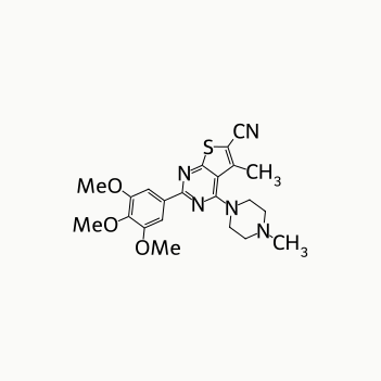 COc1cc(-c2nc(N3CCN(C)CC3)c3c(C)c(C#N)sc3n2)cc(OC)c1OC